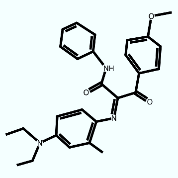 CCN(CC)c1ccc(N=C(C(=O)Nc2ccccc2)C(=O)c2ccc(OC)cc2)c(C)c1